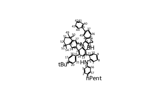 CCCCCc1ccc(Nc2ccccc2-c2cc(-c3ccc(C(C)(C)C)cc3)c3c4cc5c(cc4n4c3c2Bc2sc3ccc(-c6ccccc6)cc3c2-4)C(C)(C)CCC5(C)C)cc1